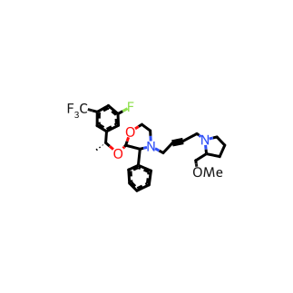 COCC1CCCN1CC#CCN1CCOC(O[C@H](C)c2cc(F)cc(C(F)(F)F)c2)C1c1ccccc1